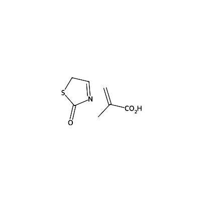 C=C(C)C(=O)O.O=C1N=CCS1